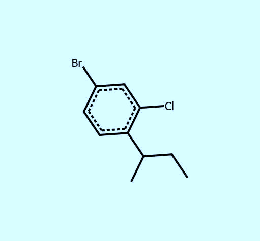 CCC(C)c1ccc(Br)cc1Cl